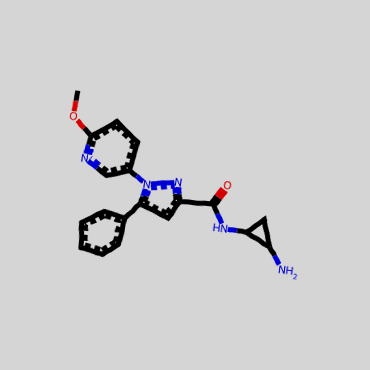 COc1ccc(-n2nc(C(=O)NC3CC3N)cc2-c2ccccc2)cn1